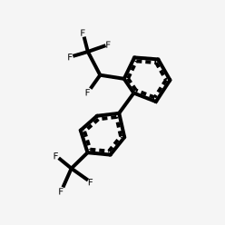 FC(c1ccccc1-c1ccc(C(F)(F)F)cc1)C(F)(F)F